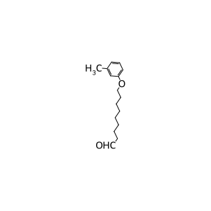 Cc1cccc(OCCCCCCCCC=O)c1